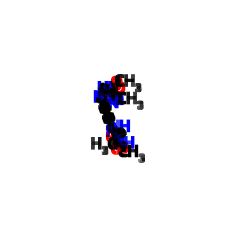 COC(=O)N[C@H](C)C(=O)N1CCC[C@H]1c1ncc(-c2ccc(-c3ccc(-c4cnc([C@@H]5CCCN5C(=O)[C@@H](Cc5cncn5C)NC(=O)OC)[nH]4)cc3)cc2)[nH]1